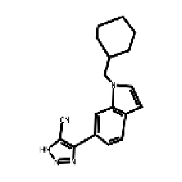 N#Cc1[nH]nnc1-c1ccc2ccn(CC3CCCCC3)c2c1